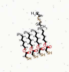 CC(C)CCCCCOC(=O)CS.CC(C)CCCCCOC(=O)CS.CC(C)CCCCCOC(=O)CS.CC(C)CCCCCOC(=O)CS.[CH3][Sn][S][S][Sn][CH3]